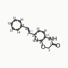 O=C1COc2nc(/C=C/c3ccccc3)ccc2N1